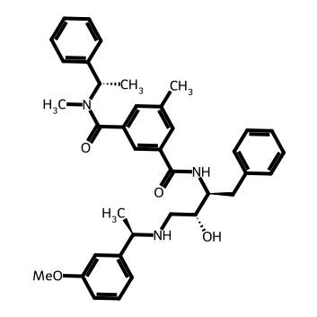 COc1cccc([C@@H](C)NC[C@@H](O)[C@H](Cc2ccccc2)NC(=O)c2cc(C)cc(C(=O)N(C)[C@@H](C)c3ccccc3)c2)c1